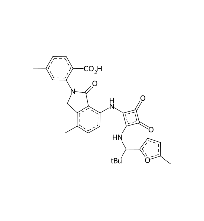 Cc1ccc(C(=O)O)c(N2Cc3c(C)ccc(Nc4c(NC(c5ccc(C)o5)C(C)(C)C)c(=O)c4=O)c3C2=O)c1